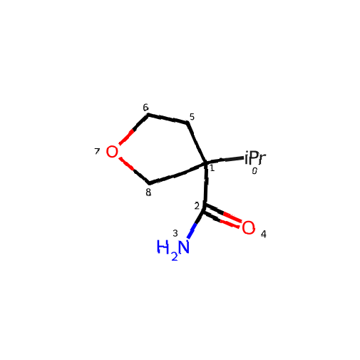 CC(C)C1(C(N)=O)CCOC1